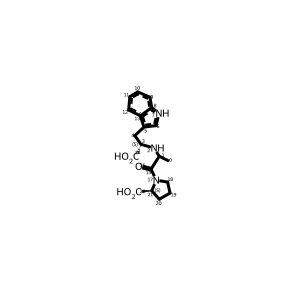 CC(N[C@@H](Cc1c[nH]c2ccccc12)C(=O)O)C(=O)N1CCC[C@H]1C(=O)O